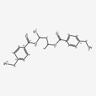 CCC(CC(C)OC(=O)c1ccc(CC(C)C)cc1)OC(=O)c1ccc(CC(C)C)cc1